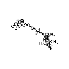 COc1cc2c(N[C@H](C)c3cccc(C(F)(F)F)c3)nc(C)nc2cc1OCCCCC(=O)NCCOCCOCCNc1cccc2c1C(=O)N(C1CCC(=O)NC1=O)C2=O